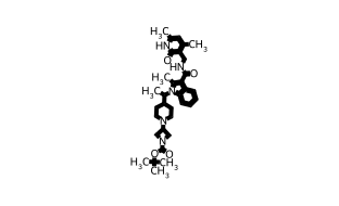 Cc1cc(C)c(CNC(=O)c2c(C)n(C(C)C3CCN(C4CN(C(=O)OC(C)(C)C)C4)CC3)c3ccccc23)c(=O)[nH]1